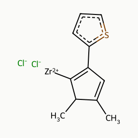 CC1=CC(c2cccs2)=[C]([Zr+2])C1C.[Cl-].[Cl-]